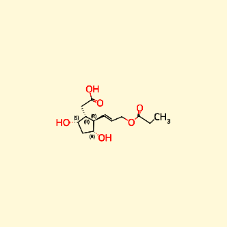 CCC(=O)OCC=C[C@@H]1[C@@H](CC(=O)O)[C@@H](O)C[C@H]1O